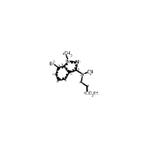 CCOC(=O)CCN(C#N)c1nn(C)c2c(Br)cccc12